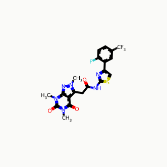 Cn1nc2c(c1CC(=O)Nc1nc(-c3cc(C(F)(F)F)ccc3F)cs1)c(=O)n(C)c(=O)n2C